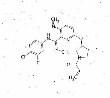 C=CC(=O)N1CC[C@H](Oc2ccc(N=C)c(/C(=N\C)Nc3ccc(Cl)c(Cl)c3)n2)C1